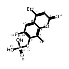 CCc1cc(=O)oc2c(F)c(OP(=O)(O)O)c(F)cc12